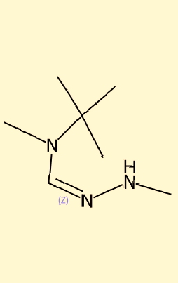 CN/N=C\N(C)C(C)(C)C